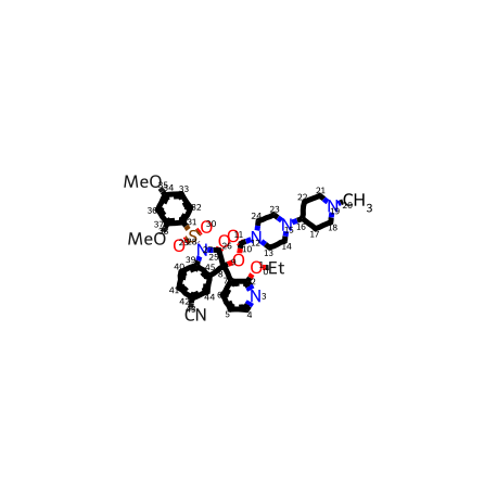 CCOc1ncccc1C1(OC(=O)N2CCN(C3CCN(C)CC3)CC2)C(=O)N(S(=O)(=O)c2ccc(OC)cc2OC)c2ccc(C#N)cc21